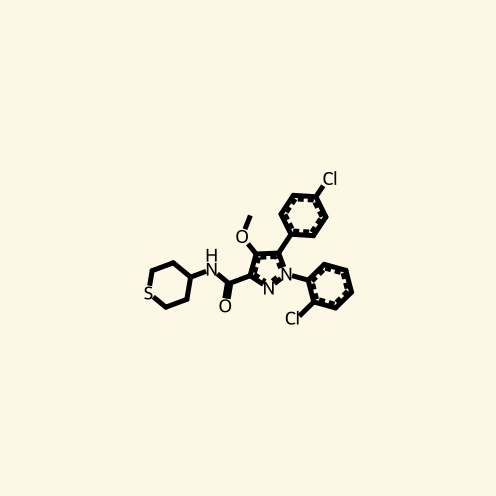 COc1c(C(=O)NC2CCSCC2)nn(-c2ccccc2Cl)c1-c1ccc(Cl)cc1